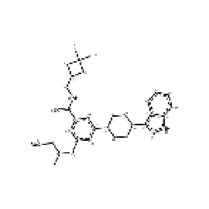 COCC(C)Oc1nc(C(=O)NCC2CC(F)(F)C2)nc(N2CCC(c3n[nH]c4ncccc34)CC2)n1